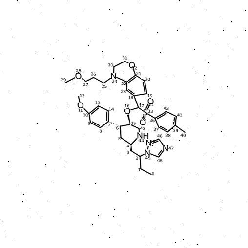 CCC(C[C@H]1C[C@H](c2ccc(OC)cc2)[C@@H](OC(c2ccc3c(c2)N(CCCOC)CCO3)S(=O)(=O)c2ccc(C)cc2)CN1)n1cncn1